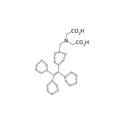 O=C(O)CN(CC(=O)O)Cc1ccc(C(=C(c2ccccc2)c2ccccc2)c2ccccc2)cc1